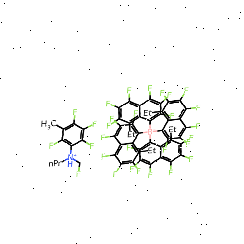 CCC[NH+](CF)c1c(F)c(C)c(F)c(F)c1F.CCc1c(F)c(F)c(F)c2c(F)c(F)c(F)c([B-](c3c(F)c(F)c(F)c4c(F)c(F)c(F)c(CC)c34)(c3c(F)c(F)c(F)c4c(F)c(F)c(F)c(CC)c34)c3c(F)c(F)c(F)c4c(F)c(F)c(F)c(CC)c34)c12